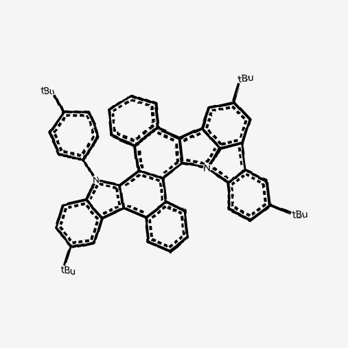 CC(C)(C)c1ccc(-n2c3ccc(C(C)(C)C)cc3c3c4ccccc4c4c(c5ccccc5c5c6cc(C(C)(C)C)cc7c8cc(C(C)(C)C)ccc8n(c76)c54)c32)cc1